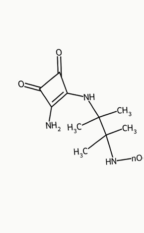 CCCCCCCCNC(C)(C)C(C)(C)Nc1c(N)c(=O)c1=O